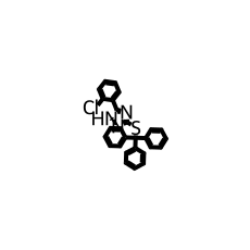 Clc1ccccc1-c1nc(SC(c2ccccc2)(c2ccccc2)c2ccccc2)n[nH]1